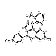 O=C(c1ccc(Cl)cc1)c1cnn(-c2ccccc2[N+](=O)[O-])c1-c1ccc(Cl)cc1